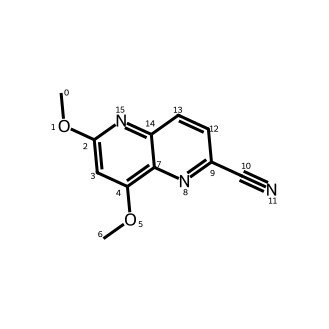 COc1cc(OC)c2nc(C#N)ccc2n1